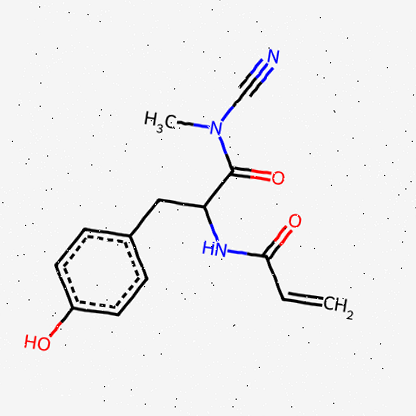 C=CC(=O)NC(Cc1ccc(O)cc1)C(=O)N(C)C#N